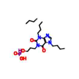 CCCC.CCCCn1cnc2c1c(=O)n(CCCO[PH](=O)O)c(=O)n2CCCC